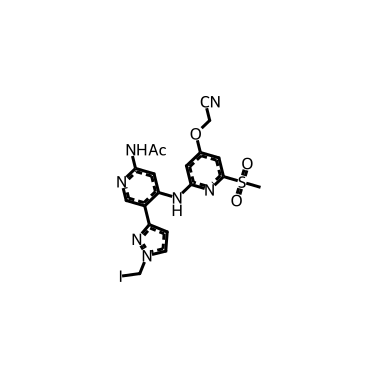 CC(=O)Nc1cc(Nc2cc(OCC#N)cc(S(C)(=O)=O)n2)c(-c2ccn(CI)n2)cn1